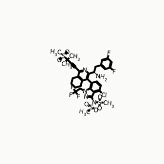 CC(C)(C#Cc1nc([C@@H](N)Cc2cc(F)cc(F)c2)c(-c2ccc(Cl)c3c(N(S(C)(=O)=O)S(C)(=O)=O)nn(CC(F)(F)F)c23)c2c1CCCC2)S(C)(=O)=O